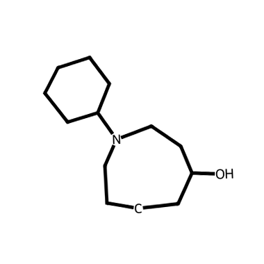 OC1CCCCN(C2CCCCC2)CC1